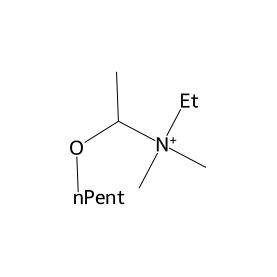 CCCCCOC(C)[N+](C)(C)CC